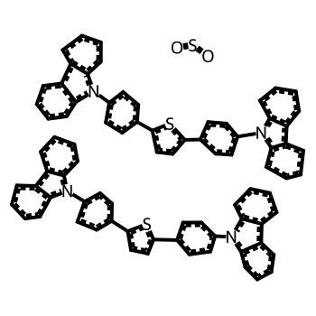 O=S=O.c1ccc2c(c1)c1ccccc1n2-c1ccc(-c2ccc(-c3ccc(-n4c5ccccc5c5ccccc54)cc3)s2)cc1.c1ccc2c(c1)c1ccccc1n2-c1ccc(-c2ccc(-c3ccc(-n4c5ccccc5c5ccccc54)cc3)s2)cc1